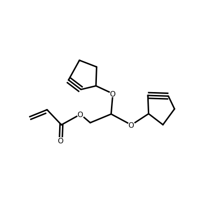 C=CC(=O)OCC(OC1C#CCC1)OC1C#CCC1